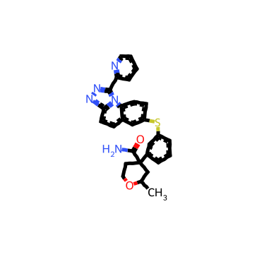 CC1CC(C(N)=O)(c2cccc(Sc3ccc4c(ccc5nnc(-c6ccccn6)n54)c3)c2)CCO1